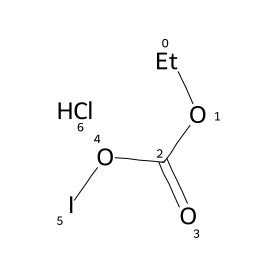 CCOC(=O)OI.Cl